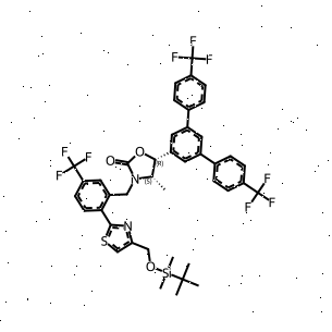 C[C@H]1[C@@H](c2cc(-c3ccc(C(F)(F)F)cc3)cc(-c3ccc(C(F)(F)F)cc3)c2)OC(=O)N1Cc1cc(C(F)(F)F)ccc1-c1nc(CO[Si](C)(C)C(C)(C)C)cs1